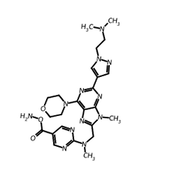 CN(C)CCn1cc(-c2nc(N3CCOCC3)c3nc(CN(C)c4ncc(C(=O)ON)cn4)n(C)c3n2)cn1